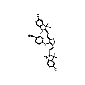 CN1C(=CC=C2CCC(C=CC3=[N+](C)c4ccc(Cl)cc4C3(C)C)=C2Sc2ccc(C(C)(C)C)cc2)C(C)(C)c2cc(Cl)ccc21